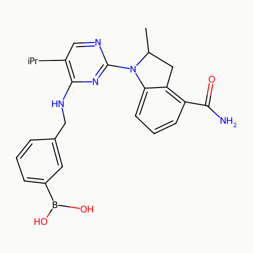 CC(C)c1cnc(N2c3cccc(C(N)=O)c3CC2C)nc1NCc1cccc(B(O)O)c1